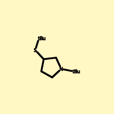 CC(C)(C)SC1CCN(C(C)(C)C)C1